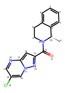 C[C@H]1c2ccccc2CCN1C(=O)c1cc2ncc(Cl)cn2n1